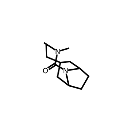 CCC1CC2CCC(C1)N2C(=O)N(C)C